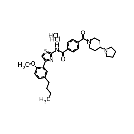 CCCCc1ccc(OC)c(-c2csc(NC(=O)c3ccc(C(=O)N4CCC(N5CCCC5)CC4)cc3)n2)c1.Cl.Cl